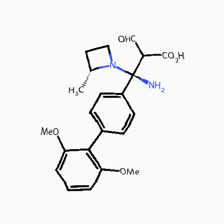 COc1cccc(OC)c1-c1ccc([C@@](N)(C(C=O)C(=O)O)N2CC[C@H]2C)cc1